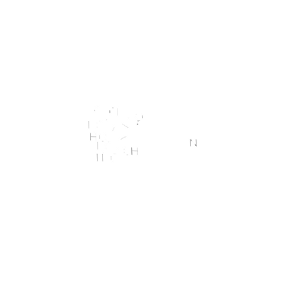 CC(C)(C)c1cc(C(=O)CCCCCCN2CCCCC2)cc(C(C)(C)C)c1O